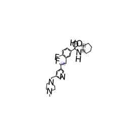 CN1CCN(Cc2cncc(/C(F)=C/c3cc(C(=O)N[C@H]4CCCC[C@@H]4O)ccc3F)c2)CC1